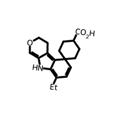 CCC1=c2[nH]c3c(c2C2(C=C1)CCC(C(=O)O)CC2)CCOC=3